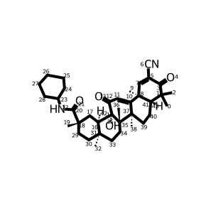 CC1(C)C(=O)C(C#N)=C[C@]2(C)C3=CC(=O)[C@]4(O)[C@@H]5C[C@@](C)(C(=O)NC6CCCCC6)CC[C@]5(C)CC[C@@]4(C)[C@]3(C)CC[C@@H]12